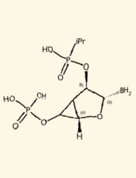 B[C@@H]1O[C@@H]2C(OP(=O)(O)O)C2[C@H]1OP(=O)(O)C(C)C